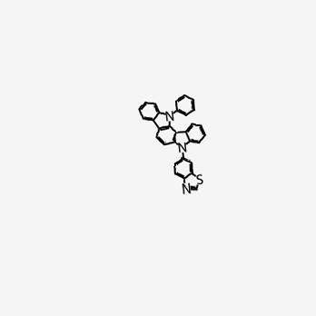 c1ccc(-n2c3ccccc3c3ccc4c(c5ccccc5n4-c4ccc5ncsc5c4)c32)cc1